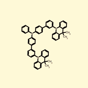 CC1(C)c2ccccc2N(c2cccc(-c3ccc(N(c4ccccc4)c4ccc(-c5cccc(N6c7ccccc7C(C)(C)c7ccccc76)c5)cc4)cc3)c2)c2ccccc21